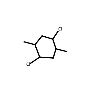 CC1CC(Cl)C(C)CC1Cl